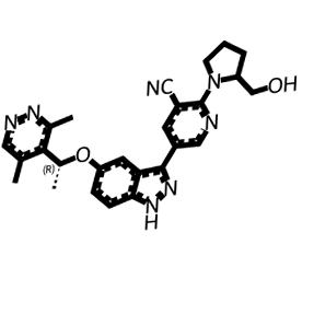 Cc1cnnc(C)c1[C@@H](C)Oc1ccc2[nH]nc(-c3cnc(N4CCCC4CO)c(C#N)c3)c2c1